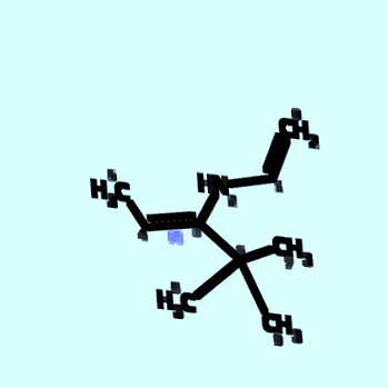 C=CN/C(=C\C)C(C)(C)C